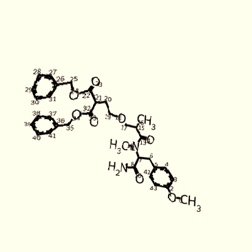 COc1ccc(CC(C(N)=O)N(C)C(=O)C(C)COCCC(C(=O)OCc2ccccc2)C(=O)OCc2ccccc2)cc1